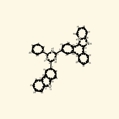 c1ccc(-c2nc(-c3ccc4oc5ccccc5c4c3)nc(-c3ccc4c(c3)c3ccccc3c3nc5ccccn5c43)n2)cc1